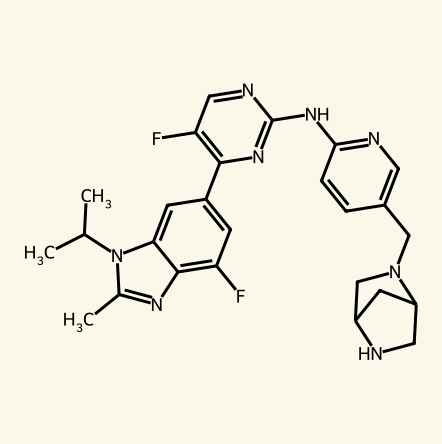 Cc1nc2c(F)cc(-c3nc(Nc4ccc(CN5CC6CC5CN6)cn4)ncc3F)cc2n1C(C)C